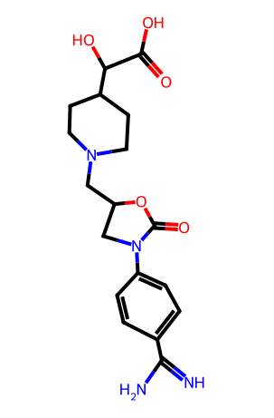 N=C(N)c1ccc(N2CC(CN3CCC(C(O)C(=O)O)CC3)OC2=O)cc1